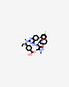 CC[C@H](C1CCC(C(=O)O)CC1)N(C)c1nc2c(c(N[C@@H](CN3C4CCC[C@@H]3CC4)c3cnn(C)c3C)n1)C[C@H](c1cccc(F)c1)CC2